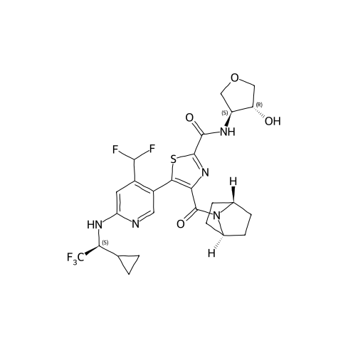 O=C(N[C@H]1COC[C@@H]1O)c1nc(C(=O)N2[C@H]3CC[C@H]2CC3)c(-c2cnc(N[C@@H](C3CC3)C(F)(F)F)cc2C(F)F)s1